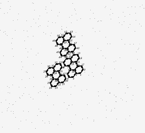 c1cc2cccc3c4cccc5cccc(c(c1)c23)c54.c1cc2cccc3c4cccc5cccc(c(c1)c23)c54.c1cc2cccc3c4cccc5cccc(c(c1)c23)c54